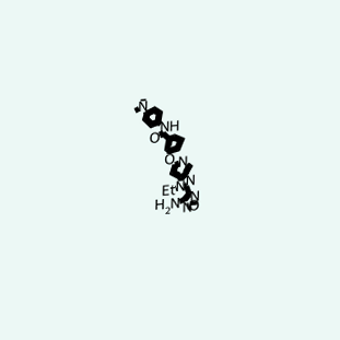 CCn1c(-c2nonc2N)nc2cnc(Oc3cccc(C(=O)Nc4ccc(N(C)C)cc4)c3)cc21